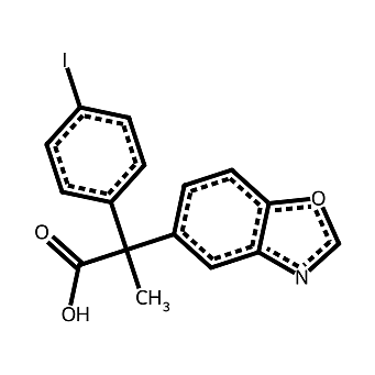 CC(C(=O)O)(c1ccc(I)cc1)c1ccc2ocnc2c1